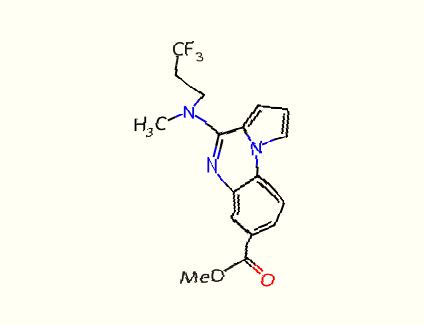 COC(=O)c1ccc2c(c1)nc(N(C)CCC(F)(F)F)c1cccn12